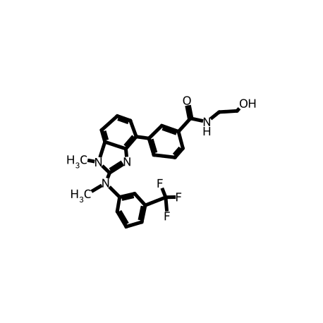 CN(c1cccc(C(F)(F)F)c1)c1nc2c(-c3cccc(C(=O)NCCO)c3)cccc2n1C